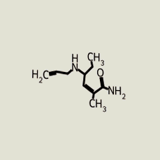 C=CCNC(C=C(C)C(N)=O)CC